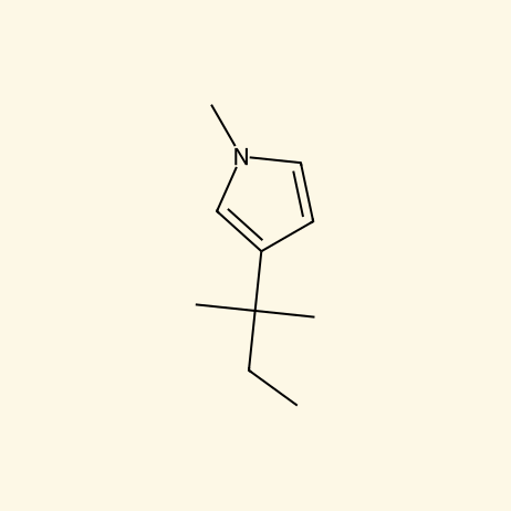 CCC(C)(C)c1ccn(C)c1